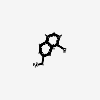 FC(F)(F)Cc1ccc2ncnc(Cl)c2c1